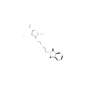 B[C@@H]1O[C@H](CC)[C@H](O)C1OCOCCN1C(=O)c2ccccc2C1=O